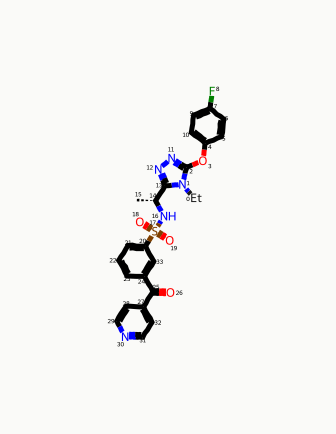 CCn1c(Oc2ccc(F)cc2)nnc1[C@@H](C)NS(=O)(=O)c1cccc(C(=O)c2ccncc2)c1